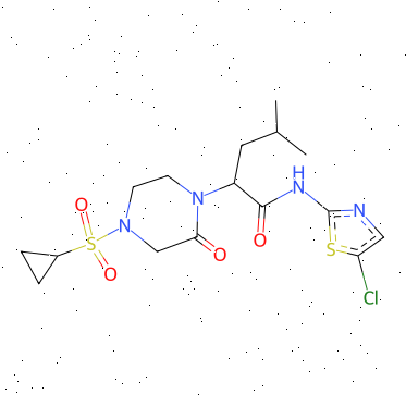 CC(C)CC(C(=O)Nc1ncc(Cl)s1)N1CCN(S(=O)(=O)C2CC2)CC1=O